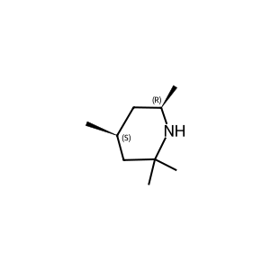 C[C@H]1C[C@@H](C)NC(C)(C)C1